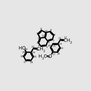 C1=Cc2cccc3cccc1c23.C=Cc1ccc(OC)cc1.C=Cc1ccccc1O